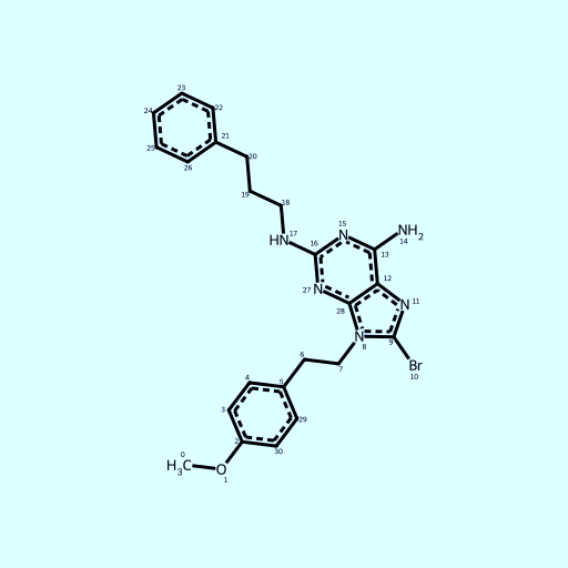 COc1ccc(CCn2c(Br)nc3c(N)nc(NCCCc4ccccc4)nc32)cc1